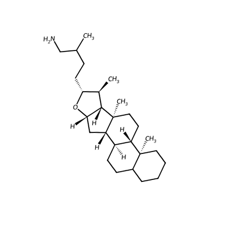 CC(CN)CC[C@H]1O[C@H]2C[C@H]3[C@@H]4CCC5CCCC[C@]5(C)[C@H]4CC[C@]3(C)[C@H]2[C@@H]1C